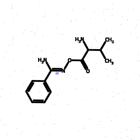 CC(C)C(N)C(=O)O/N=C(\N)c1ccccc1